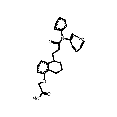 O=C(O)COc1cccc2c1CCCC2CCC(=O)N(C1=CNC=CC=C1)c1ccccc1